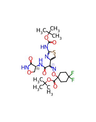 CC(C)(C)OC(=O)Nc1nc(/C(=N/OC2(C(=O)OC(C)(C)C)CCC(F)(F)CC2)C(=O)N[C@H]2CONC2=O)cs1